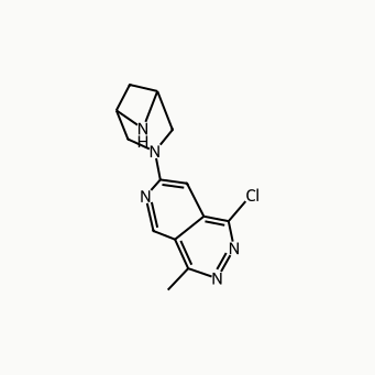 Cc1nnc(Cl)c2cc(N3CC4CC(C3)N4)ncc12